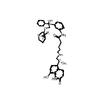 O=C(CCCCNC[C@H](O)c1ccc(O)c2[nH]c(=O)ccc12)Nc1cccc(C(O)(CO[C@H]2CN3CCC2CC3)c2ccccc2)c1